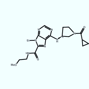 CCn1c(C(=O)NCCOC)nc2c(N[C@H]3CCN(C(=O)C4CC4)C3)ncnc21